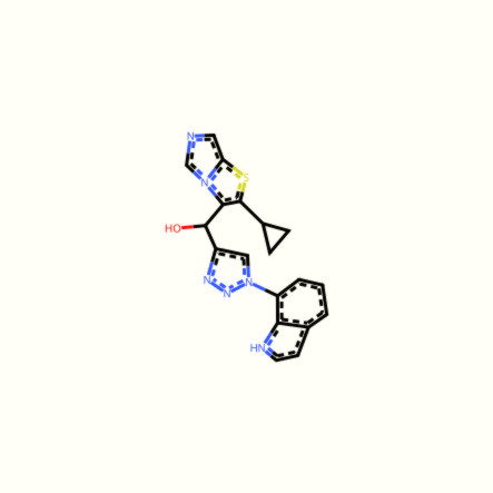 OC(c1cn(-c2cccc3cc[nH]c23)nn1)c1c(C2CC2)sc2cncn12